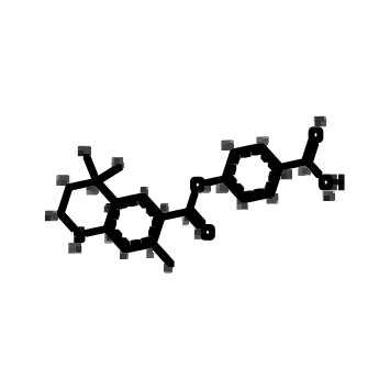 Cc1cc2c(cc1C(=O)Oc1ccc(C(=O)O)cc1)C(C)(C)CCS2